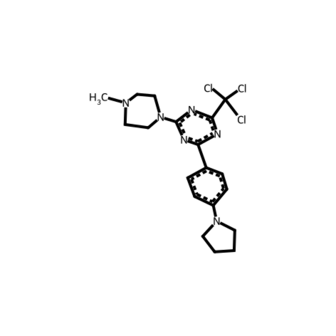 CN1CCN(c2nc(-c3ccc(N4CCCC4)cc3)nc(C(Cl)(Cl)Cl)n2)CC1